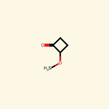 O=C1CCC1O[SiH3]